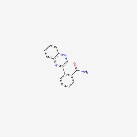 NC(=O)c1ccccc1-c1cnc2ccccc2n1